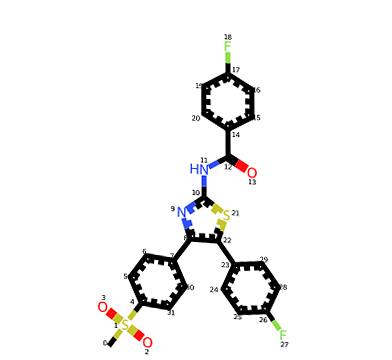 CS(=O)(=O)c1ccc(-c2nc(NC(=O)c3ccc(F)cc3)sc2-c2ccc(F)cc2)cc1